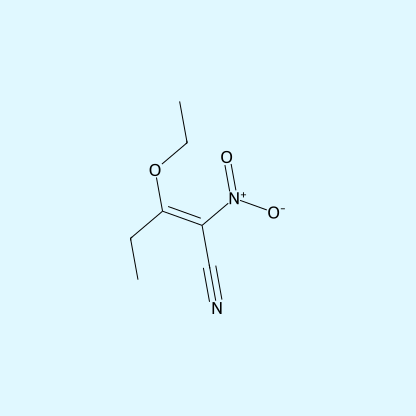 CCOC(CC)=C(C#N)[N+](=O)[O-]